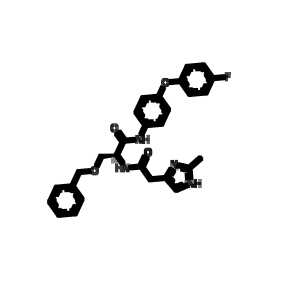 Cc1nc(CC(=O)N[C@@H](COCc2ccccc2)C(=O)Nc2ccc(Oc3ccc(F)cc3)cc2)c[nH]1